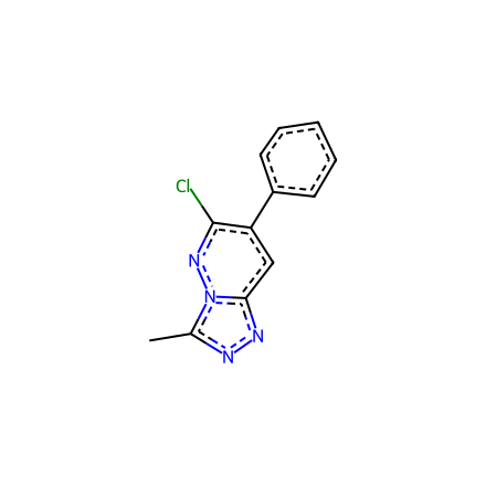 Cc1nnc2cc(-c3ccccc3)c(Cl)nn12